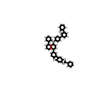 c1ccc(-c2nc3cc4oc5ccc(-c6ccc(N(c7ccc(-c8cccc9c8oc8ccccc89)cc7)c7ccccc7-c7ccccc7)cc6)cc5c4cc3o2)cc1